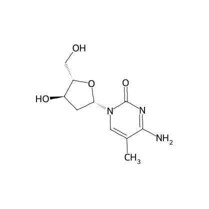 Cc1cn([C@@H]2C[C@@H](O)[C@H](CO)O2)c(=O)nc1N